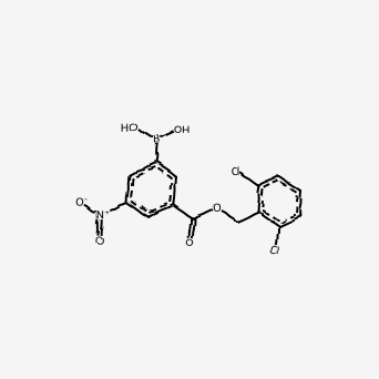 O=C(OCc1c(Cl)cccc1Cl)c1cc(B(O)O)cc([N+](=O)[O-])c1